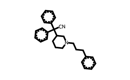 N#CC(c1ccccc1)(c1ccccc1)C1CCCN(CCCc2ccccc2)C1